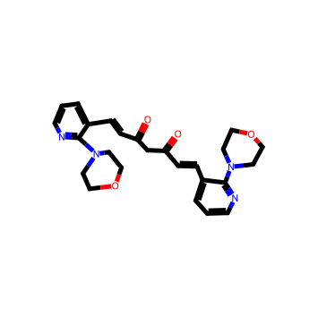 O=C(C=Cc1cccnc1N1CCOCC1)CC(=O)C=Cc1cccnc1N1CCOCC1